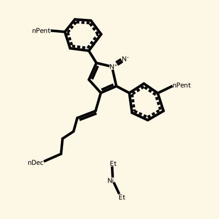 CCCCCCCCCCCCCC=CC1=C(c2cccc(CCCCC)c2)[N+](=[N-])C(c2cccc(CCCCC)c2)=C1.C[CH2][Ni][CH2]C